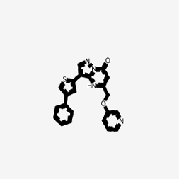 O=c1cc(COc2cccnc2)[nH]c2c(-c3cc(-c4ccccc4)cs3)cnn12